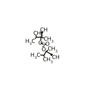 C#CC(C)(OS(=O)OC(C)(C#C)C(C)C)C(C)C